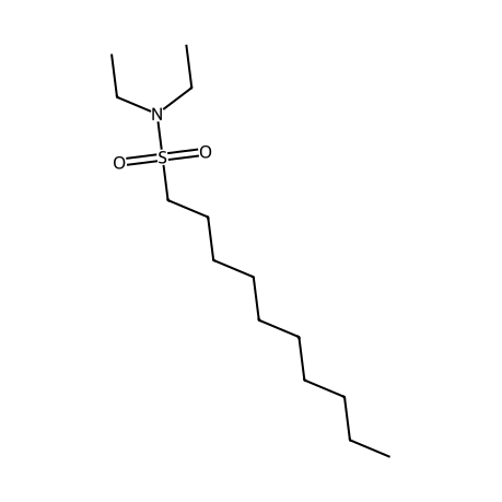 CCCCCCCCCCS(=O)(=O)N(CC)CC